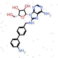 Nc1cccc(-c2ccc(CNc3nc4c(N)ncnc4n3[C@@H]3O[C@H](CO)[C@@H](O)[C@H]3O)cc2)c1